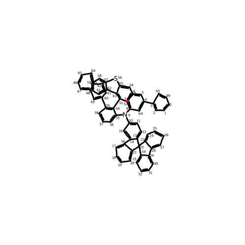 c1ccc(-c2cccc(N(c3ccc4c(c3)-c3ccccc3C43c4ccccc4-c4ccccc43)c3cccc(-c4ccc5ccccc5c4)c3-c3cccc4sc5ccccc5c34)c2)cc1